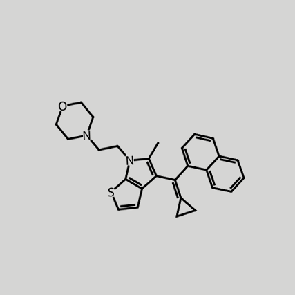 Cc1c(C(=C2CC2)c2cccc3ccccc23)c2ccsc2n1CCN1CCOCC1